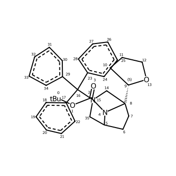 CC(C)(C)OC(=O)N1C2CCC1([C@@H]1CCCO1)CN(C(c1ccccc1)(c1ccccc1)c1ccccc1)C2